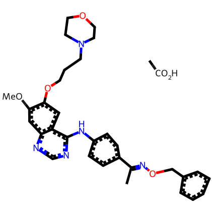 CC(=O)O.COc1cc2ncnc(Nc3ccc(C(C)=NOCc4ccccc4)cc3)c2cc1OCCCN1CCOCC1